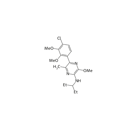 CCC(CC)Nc1nc(C)c(-c2ccc(Cl)c(OC)c2OC)nc1OC